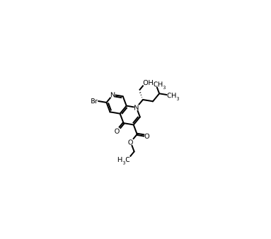 CCOC(=O)c1cn([C@H](CO)CC(C)C)c2cnc(Br)cc2c1=O